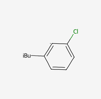 CCC(C)c1[c]c(Cl)ccc1